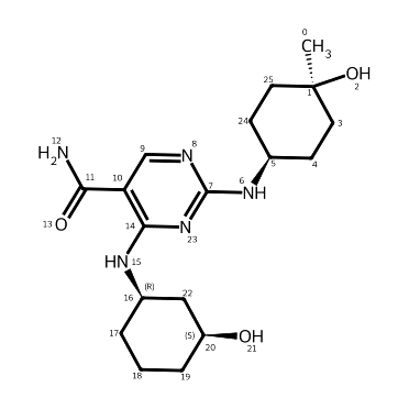 C[C@]1(O)CC[C@@H](Nc2ncc(C(N)=O)c(N[C@@H]3CCC[C@H](O)C3)n2)CC1